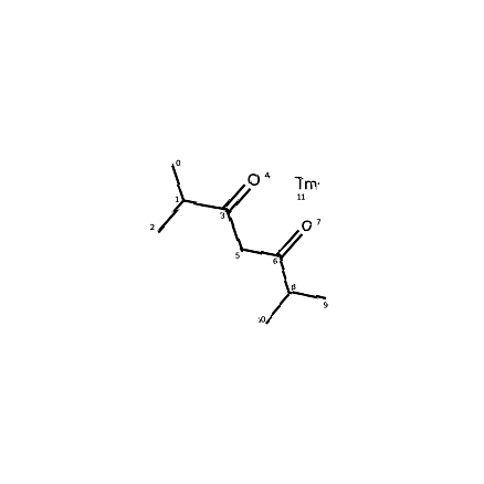 CC(C)C(=O)CC(=O)C(C)C.[Tm]